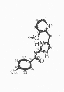 COc1cccnc1Cc1c[nH]c(=NC(=O)c2ccc(Cl)cc2)[nH]1